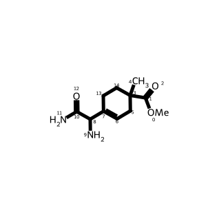 COC(=O)C1(C)CC=C(C(N)C(N)=O)CC1